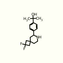 CC(C)(O)c1ccc(C2CC3(CCN2)CC(F)(F)C3)cc1